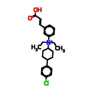 CC[N+](CC)(c1cccc(C=CC(=O)O)c1)C1CCC(c2ccc(Cl)cc2)CC1